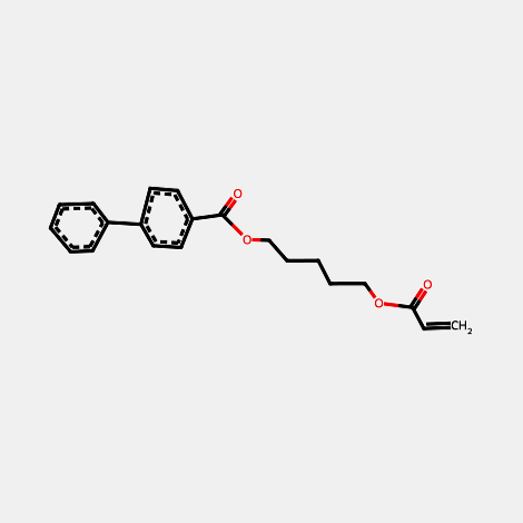 C=CC(=O)OCCCCCOC(=O)c1ccc(-c2ccccc2)cc1